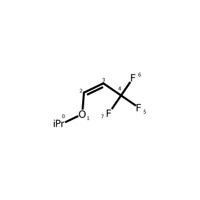 CC(C)O/C=C\C(F)(F)F